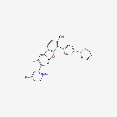 Cc1cc2c(cc1-c1cc(F)cc[n+]1C)oc1c(-c3ccc(-c4ccccc4)cc3)c(C#N)ccc12